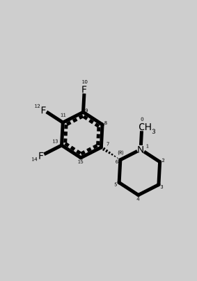 CN1CCCC[C@@H]1c1cc(F)c(F)c(F)c1